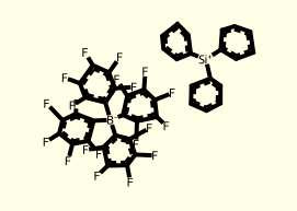 Fc1c(F)c(F)c([B-](c2c(F)c(F)c(F)c(F)c2F)(c2c(F)c(F)c(F)c(F)c2F)c2c(F)c(F)c(F)c(F)c2F)c(F)c1F.c1ccc([Si+](c2ccccc2)c2ccccc2)cc1